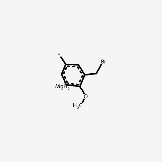 COc1ccc(F)cc1CBr.[MgH2]